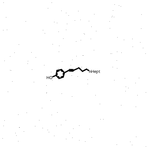 CCCCCCCCCCC#Cc1ccc(O)cc1